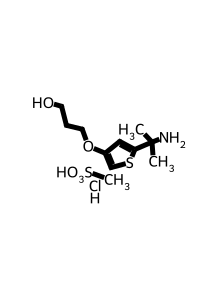 CC(C)(N)c1cc(OCCCO)cs1.CS(=O)(=O)O.Cl